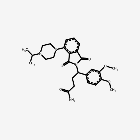 COc1ccc(C(CCC(N)=O)N2C(=O)c3cccc(N4CCN(C(C)C)CC4)c3C2=O)cc1OC